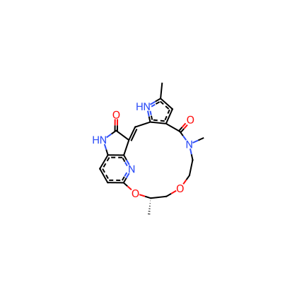 Cc1cc2c([nH]1)/C=C1\C(=O)Nc3ccc(nc31)O[C@@H](C)COCCN(C)C2=O